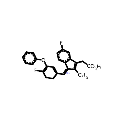 CC1=C(CC(=O)O)c2cc(F)ccc2/C1=C\C1=CC(Oc2ccccc2)=C(F)CC1